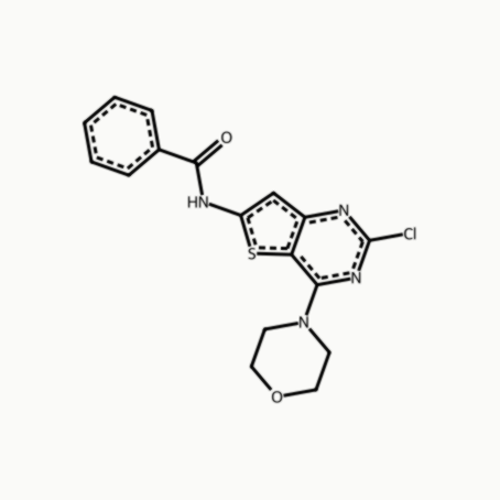 O=C(Nc1cc2nc(Cl)nc(N3CCOCC3)c2s1)c1ccccc1